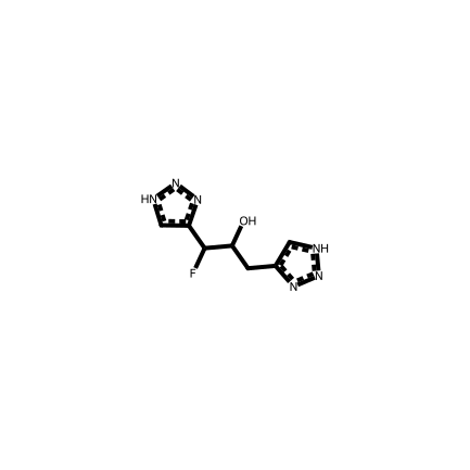 OC(Cc1c[nH]nn1)C(F)c1c[nH]nn1